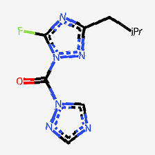 CC(C)Cc1nc(F)n(C(=O)n2cncn2)n1